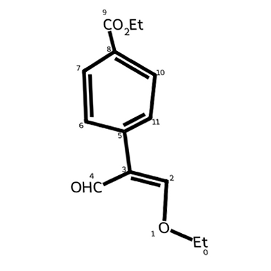 CCOC=C(C=O)c1ccc(C(=O)OCC)cc1